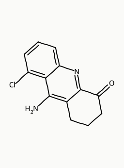 Nc1c2c(nc3cccc(Cl)c13)C(=O)CCC2